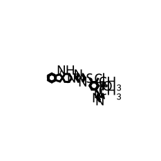 CP(C)(=O)c1c(-n2ccnn2)ccc(Sc2cnc(N3CCC4(CC3)Cc3ccccc3[C@H]4N)cn2)c1Cl